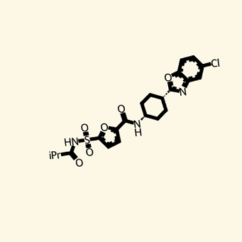 CC(C)C(=O)NS(=O)(=O)c1ccc(C(=O)N[C@H]2CC[C@@H](c3nc4cc(Cl)ccc4o3)CC2)o1